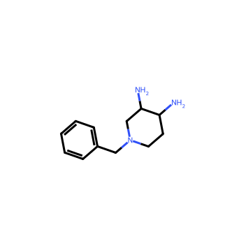 NC1CCN(Cc2ccccc2)CC1N